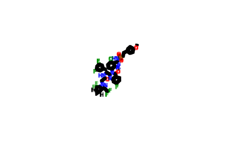 COc1ccc(CCS(=O)(=O)Nc2nn(C)c3c(-n4c([C@H](Cc5cc(F)cc(F)c5)NC(=O)Cn5nc(C(F)F)c6c5C(F)(F)[C@@H]5C[C@H]65)nc5cc(F)ccc5c4=O)ccc(Cl)c23)cc1